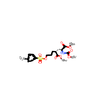 CC(C)(C)OC(=O)N[C@H](C[C@@H](CCCOS(=O)(=O)c1ccc([N+](=O)[O-])cc1)C(=O)OC(C)(C)C)C(=O)OC(C)(C)C